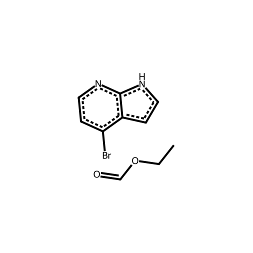 Brc1ccnc2[nH]ccc12.CCOC=O